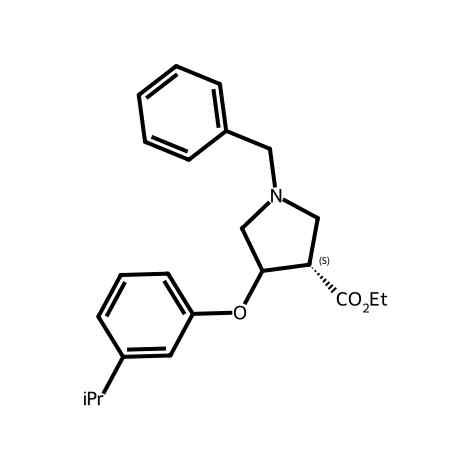 CCOC(=O)[C@H]1CN(Cc2ccccc2)CC1Oc1cccc(C(C)C)c1